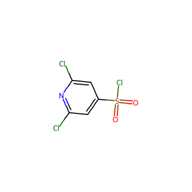 O=S(=O)(Cl)c1cc(Cl)nc(Cl)c1